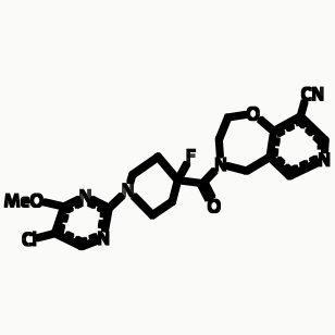 COc1nc(N2CCC(F)(C(=O)N3CCOc4c(C#N)cncc4C3)CC2)ncc1Cl